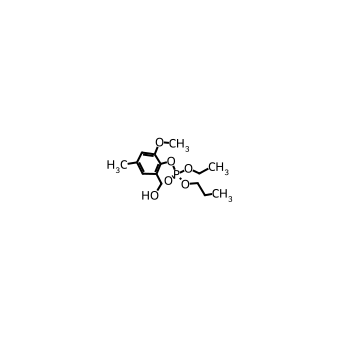 CCCOP(=O)(OCC)Oc1c(CO)cc(C)cc1OC